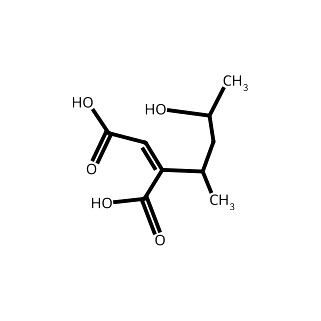 CC(O)CC(C)C(=CC(=O)O)C(=O)O